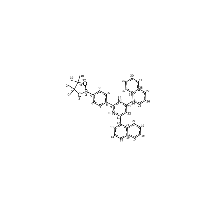 CC1(C)OB(c2ccc(-c3nc(-c4cccc5ccccc45)cc(-c4cccc5ccccc45)n3)cc2)OC1(C)C